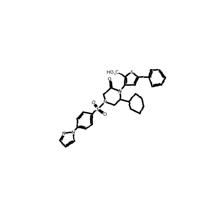 O=C(O)c1sc(-c2ccccc2)cc1N1C(=O)CN(S(=O)(=O)c2ccc(-n3cccn3)cc2)CC1C1CCCCC1